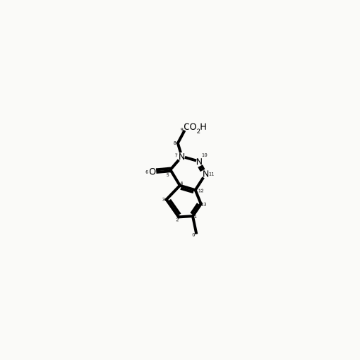 Cc1ccc2c(=O)n(CC(=O)O)nnc2c1